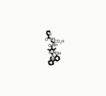 Cc1nc(NCc2ccccc2-c2cccc(O)c2)nc(C)c1C(=O)NC(CNC(=O)c1cccs1)C(=O)O